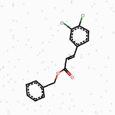 O=C(/C=C/c1ccc(Cl)c(Cl)c1)OCc1ccccc1